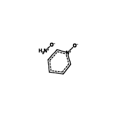 [NH3+][O-].[O-][n+]1ccccc1